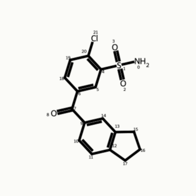 NS(=O)(=O)c1cc(C(=O)c2ccc3c(c2)CCC3)ccc1Cl